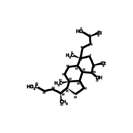 CC[C@H](O)CC[C@@]1(C)C[C@@H](CC)[C@@H](O)C2C1CC[C@@]1(C)C2CC[C@@H]1[C@H](C)CCC(=O)O